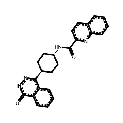 O=C(N[C@H]1CC[C@H](c2n[nH]c(=O)c3ccccc32)CC1)c1ccc2ccccc2n1